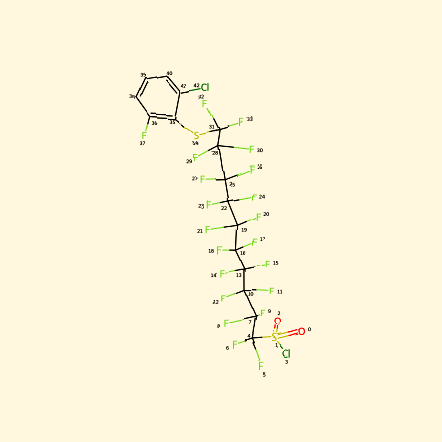 O=S(=O)(Cl)C(F)(F)C(F)(F)C(F)(F)C(F)(F)C(F)(F)C(F)(F)C(F)(F)C(F)(F)C(F)(F)C(F)(F)Sc1c(F)cccc1Cl